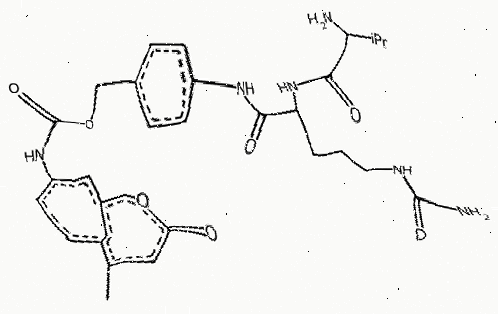 Cc1cc(=O)oc2cc(NC(=O)OCc3ccc(NC(=O)C(CCCNC(N)=O)NC(=O)C(N)C(C)C)cc3)ccc12